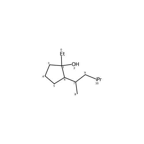 CCC1(O)CCCC1C(C)CC(C)C